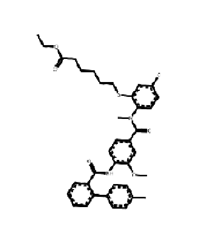 CCOC(=O)CCCCCOc1cc(Cl)ccc1N(C)C(=O)c1ccc(NC(=O)c2ccccc2-c2ccc(C)cc2)c(OC)c1